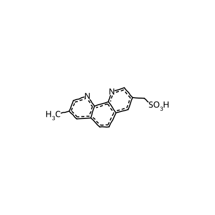 Cc1cnc2c(ccc3cc(CS(=O)(=O)O)cnc32)c1